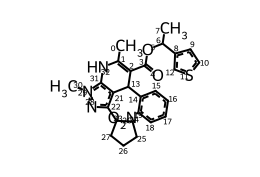 CC1=C(C(=O)OC(C)c2ccsc2)C(c2ccccc2[N+](=O)[O-])c2c(C3CCCC3)nn(C)c2N1